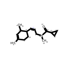 CC1=CC(C)C(/C=C\CN(C)C(=O)C2CC2)CC1